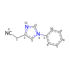 N#CCc1cn(-c2ccccc2)cn1